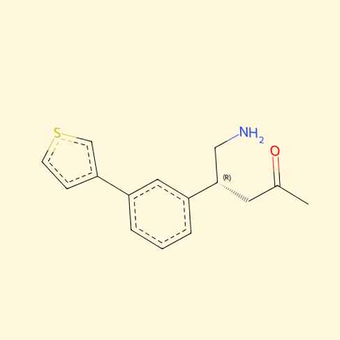 CC(=O)C[C@@H](CN)c1cccc(-c2ccsc2)c1